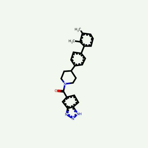 Cc1cccc(-c2ccc(C3CCN(C(=O)c4ccc5[nH]nnc5c4)CC3)cc2)c1C